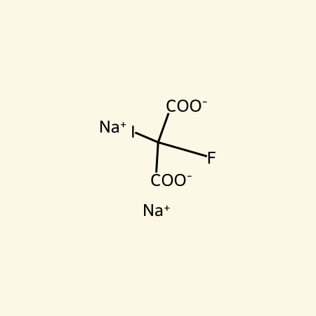 O=C([O-])C(F)(I)C(=O)[O-].[Na+].[Na+]